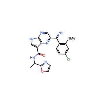 CNc1cc(Cl)ccc1C(=N)c1cnc2[nH]cc(C(=O)NC(C)c3ncco3)c2n1